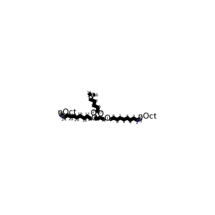 CCCCCCCC/C=C\CCCCCCCCOCC(COCCCCCCCC/C=C\CCCCCCCC)OC(=O)CCCCN(C)C